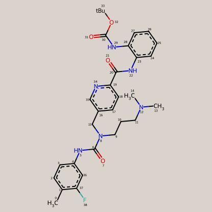 Cc1ccc(NC(=O)N(CCCN(C)C)Cc2ccc(C(=O)Nc3ccccc3NC(=O)OC(C)(C)C)nc2)cc1F